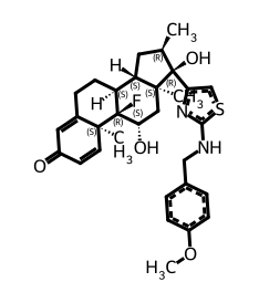 COc1ccc(CNc2nc([C@@]3(O)[C@H](C)C[C@H]4[C@@H]5CCC6=CC(=O)C=C[C@]6(C)[C@@]5(F)[C@@H](O)C[C@@]43C)cs2)cc1